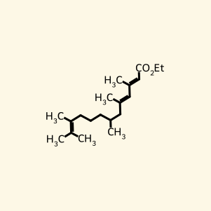 CCOC(=O)/C=C(C)/C=C(\C)CC(C)CCCC(C)=C(C)C